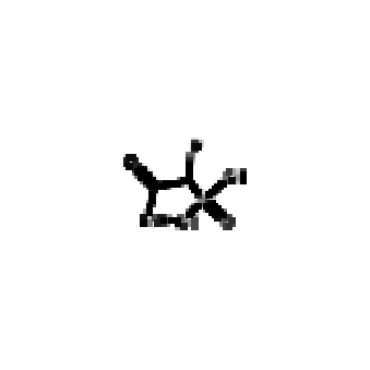 COC(=O)C(C(C)C)P(=O)(O)O